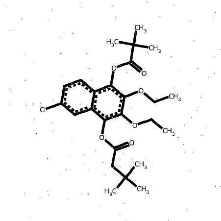 CCOc1c(OCC)c(OC(=O)C(C)(C)C)c2ccc(Cl)cc2c1OC(=O)CC(C)(C)C